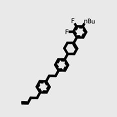 C=CCCc1ccc(CCc2ccc(C3CC=C(c4ccc(CCCC)c(F)c4F)CC3)cc2)cc1